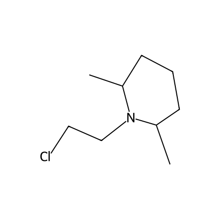 CC1CCCC(C)N1CCCl